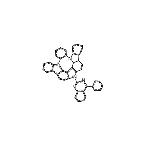 C1=CC2c3ccccc3N3c4ccccc4-n4c5ccccc5c5ccc6c(c(c1n6-c1nc(-c6ccccc6)c6ccccc6n1)C23)c54